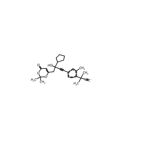 [C-]#[N+]C(C)(C)c1ccc(C#CC(O)(CC2=CC(=O)OC(C)(C)O2)C2CCCC2)cc1C